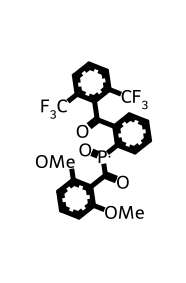 COc1cccc(OC)c1C(=O)[P](=O)c1ccccc1C(=O)c1c(C(F)(F)F)cccc1C(F)(F)F